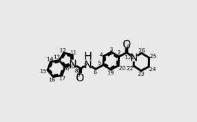 O=C(c1ccc(CNC(=O)n2ccc3ccccc32)cc1)N1CCCCC1